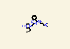 CC(C)CC1CNCCN1Cc1nc(NCCCN(C)C)c2ccccc2n1